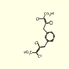 O=C(O)C(Cl)=C(Cl)Cc1cccc(CC(Cl)=C(Cl)C(=O)O)c1